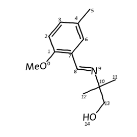 COc1ccc(C)cc1/C=N/C(C)(C)CO